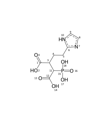 O=C(O)C(CCc1ncc[nH]1)C(C(=O)O)P(=O)(O)O